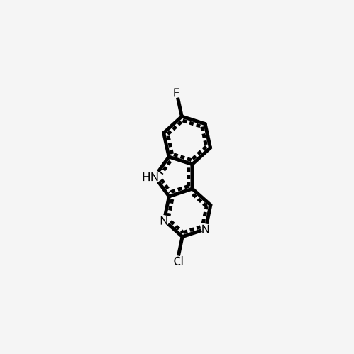 Fc1ccc2c(c1)[nH]c1nc(Cl)ncc12